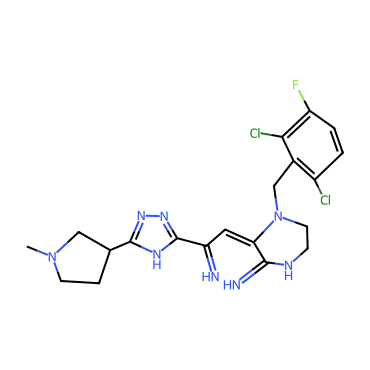 CN1CCC(c2nnc(C(=N)/C=C3\C(=N)NCCN3Cc3c(Cl)ccc(F)c3Cl)[nH]2)C1